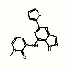 Cn1cccc(Nc2nc(-c3ccco3)nc3cn[nH]c23)c1=O